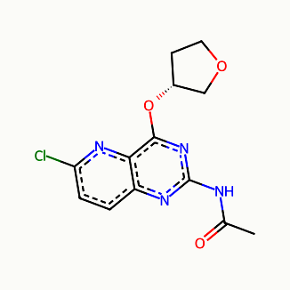 CC(=O)Nc1nc(O[C@@H]2CCOC2)c2nc(Cl)ccc2n1